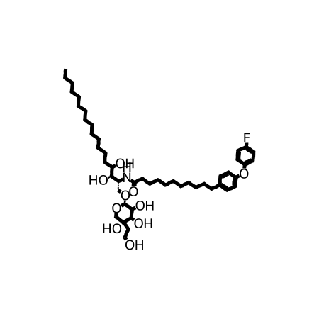 CCCCCCCCCCCCCCC(O)[C@H](O)[C@@H](CO[C@@H]1OCC(O)(CCO)C(O)C1O)NC(=O)CCCCCCCCCCc1ccc(Oc2ccc(F)cc2)cc1